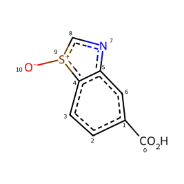 O=C(O)c1ccc2c(c1)nc[s+]2[O-]